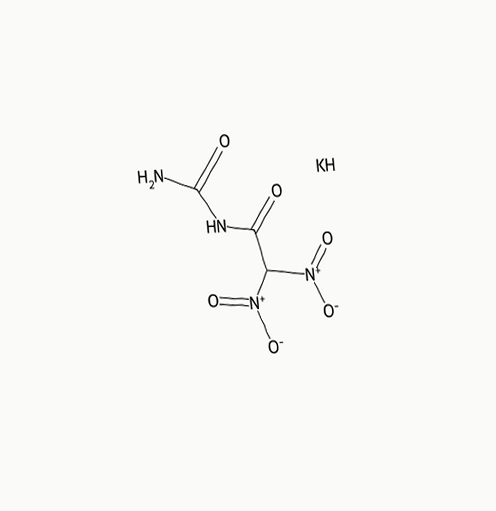 NC(=O)NC(=O)C([N+](=O)[O-])[N+](=O)[O-].[KH]